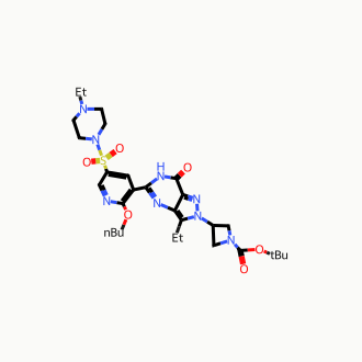 CCCCOc1ncc(S(=O)(=O)N2CCN(CC)CC2)cc1-c1nc2c(CC)n(C3CN(C(=O)OC(C)(C)C)C3)nc2c(=O)[nH]1